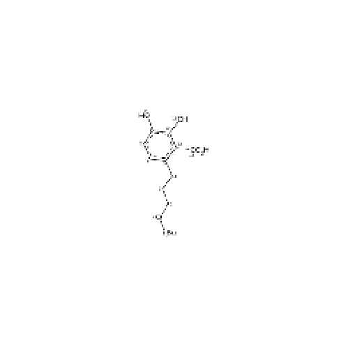 CCCCOCCCc1ccc(O)c(O)c1C(=O)O